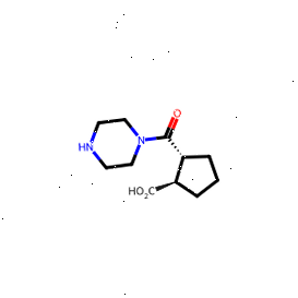 O=C(O)[C@@H]1CCC[C@H]1C(=O)N1CCNCC1